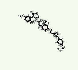 CCCc1ccc(C)cc1N1C(=O)CSC1NC(=O)Nc1ccc(OCc2ncn(-c3ccc(OC(F)(F)F)cc3)n2)cc1C